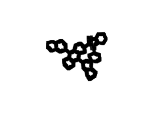 C1=CCCC(n2c(-c3ccc4c(-c5ccc6c(c5)C=CCC6)c5ccccc5c(-c5ccc6ccccc6c5)c4c3)nc3c2CCC=C3)=C1